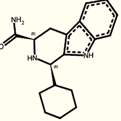 NC(=O)[C@H]1Cc2c([nH]c3ccccc23)[C@@H](C2CCCCC2)N1